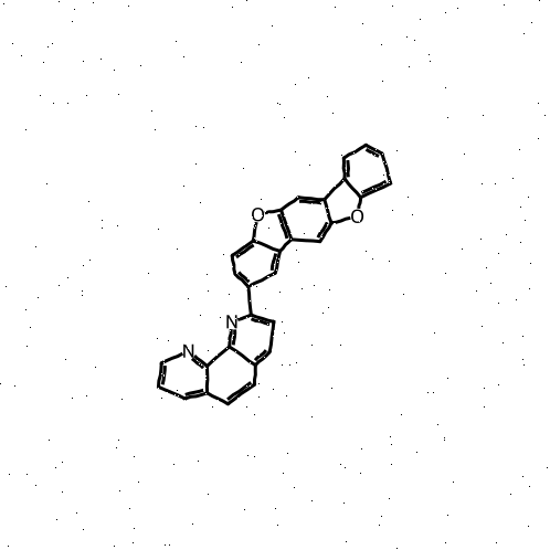 c1cnc2c(c1)ccc1ccc(-c3ccc4oc5cc6c(cc5c4c3)oc3ccccc36)nc12